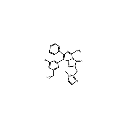 Cn1ccnc1Cn1nc2c(-c3cc(Cl)nc(CO)c3)c(-c3ccccc3)nc(N)n2c1=O